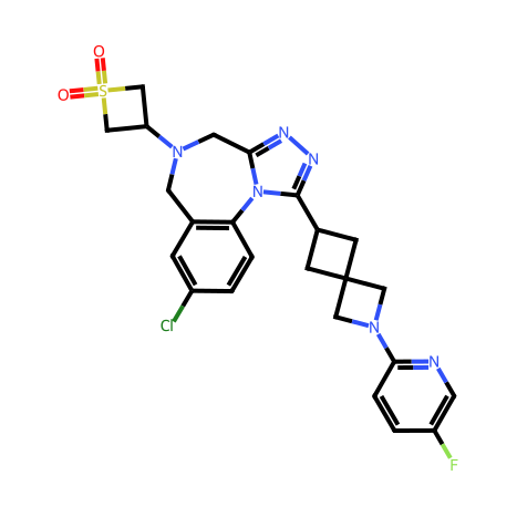 O=S1(=O)CC(N2Cc3cc(Cl)ccc3-n3c(nnc3C3CC4(C3)CN(c3ccc(F)cn3)C4)C2)C1